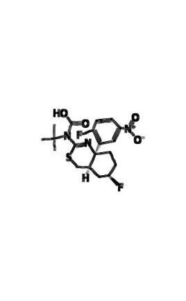 CC(C)(C)N(C(=O)O)C1=N[C@@]2(c3cc([N+](=O)[O-])ccc3F)CC[C@@H](F)C[C@H]2CS1